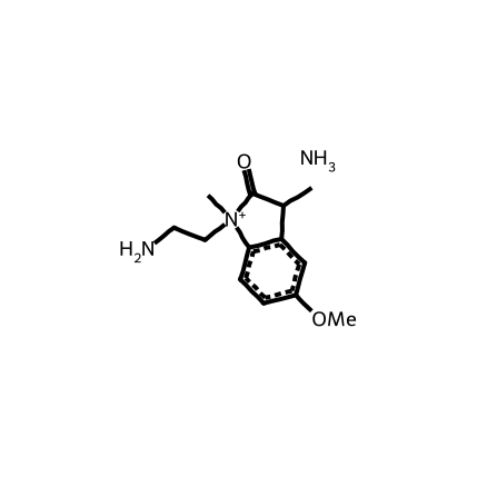 COc1ccc2c(c1)C(C)C(=O)[N+]2(C)CCN.N